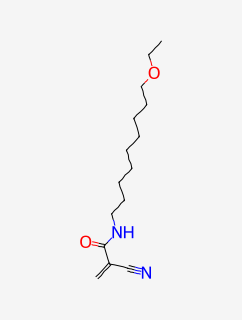 C=C(C#N)C(=O)NCCCCCCCCCOCC